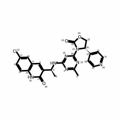 Cc1nc(N[C@@H](C)c2cc3cc(Cl)ccc3[nH]c2=O)nc(N2C(=O)OC[C@@H]2c2ccncc2)n1